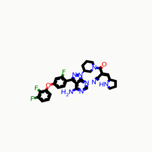 N#C/C(=C\C1CCCN1)C(=O)N1CCC[C@H](n2nc(-c3ccc(Oc4cccc(F)c4F)cc3F)c3c(N)ncnc32)C1